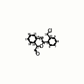 O=CC1OC(c2ccccc2CCl)=Nc2ccccc21